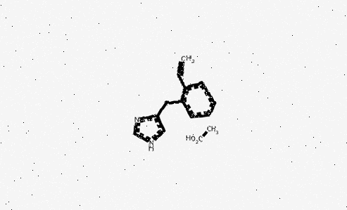 C=Cc1ccccc1Cc1c[nH]cn1.CC(=O)O